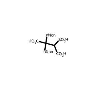 CCCCCCCCCC(CCCCCCCCC)(C(=O)O)C(C(=O)O)S(=O)(=O)O